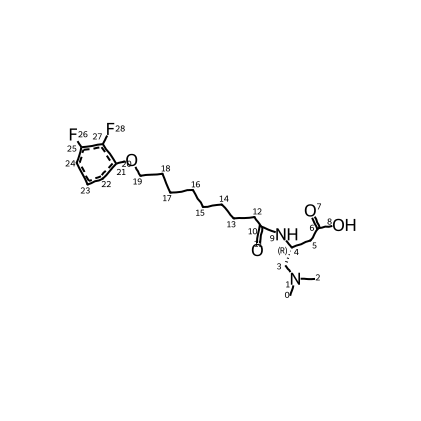 CN(C)C[C@@H](CC(=O)O)NC(=O)CCCCCCCCOc1cccc(F)c1F